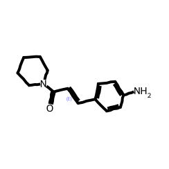 Nc1ccc(/C=C/C(=O)N2CCCCC2)cc1